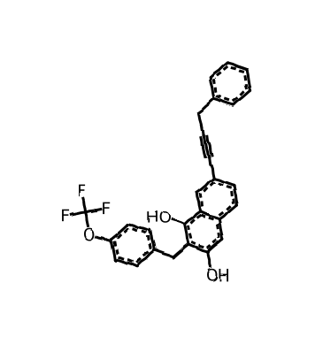 Oc1cc2ccc(C#CCc3ccccc3)cc2c(O)c1Cc1ccc(OC(F)(F)F)cc1